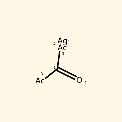 CC(=O)C(=O)C(C)=O.[Ag]